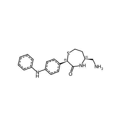 NC[C@@H]1CCS[C@H](c2ccc(Nc3ccccc3)cc2)C(=O)N1